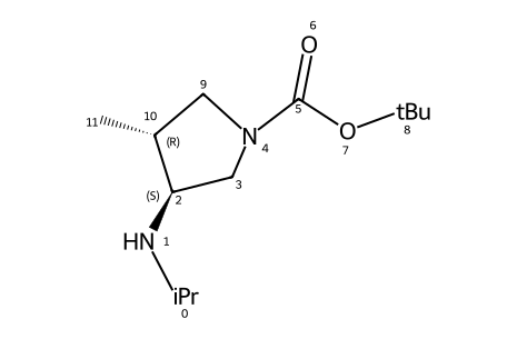 CC(C)N[C@@H]1CN(C(=O)OC(C)(C)C)C[C@H]1C